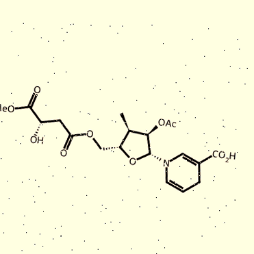 COC(=O)[C@@H](O)CC(=O)OC[C@H]1O[C@@H](N2C=CCC(C(=O)O)=C2)[C@H](OC(C)=O)[C@@H]1C